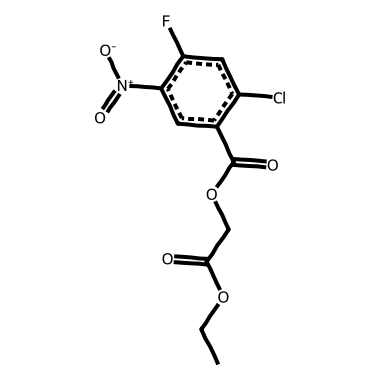 CCOC(=O)COC(=O)c1cc([N+](=O)[O-])c(F)cc1Cl